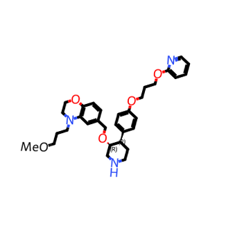 COCCCN1CCOc2ccc(CO[C@H]3CNCC[C@@H]3c3ccc(OCCCOc4ccccn4)cc3)cc21